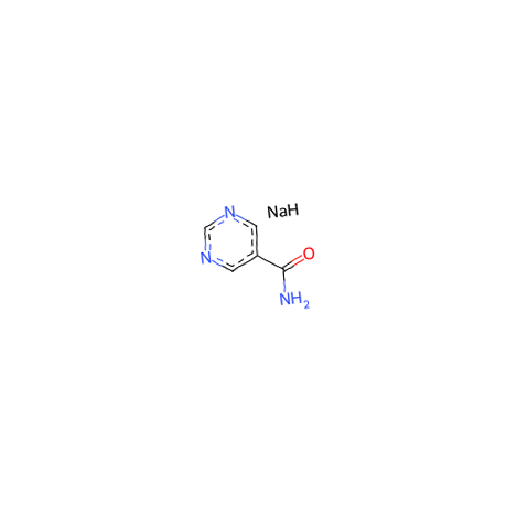 NC(=O)c1cncnc1.[NaH]